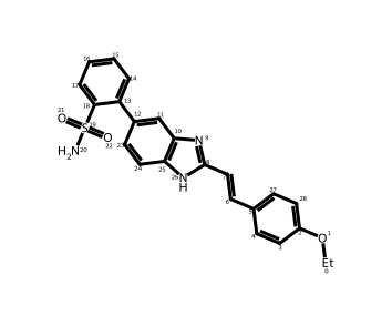 CCOc1ccc(C=Cc2nc3cc(-c4ccccc4S(N)(=O)=O)ccc3[nH]2)cc1